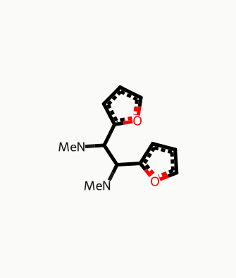 CNC(c1ccco1)C(NC)c1ccco1